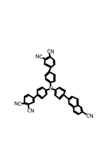 N#Cc1ccc2cc(-c3ccc(N(c4ccc(-c5ccc(C#N)c(C#N)c5)cc4)c4ccc(-c5ccc(C#N)c(C#N)c5)cc4)cc3)ccc2c1